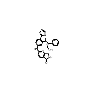 O=C1NCc2nc(Nc3cc(N[C@H](CO)c4ccccc4)c(-c4nnco4)cn3)ccc21